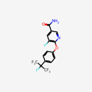 NC(=O)c1cnc(Oc2ccc(C(F)(C(F)(F)F)C(F)(F)F)cc2)c(F)c1